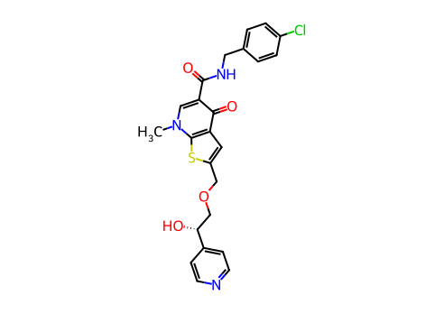 Cn1cc(C(=O)NCc2ccc(Cl)cc2)c(=O)c2cc(COC[C@@H](O)c3ccncc3)sc21